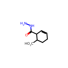 NNC(=O)C1C=CCCC1C(=O)O